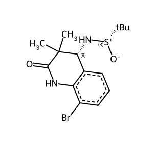 CC1(C)C(=O)Nc2c(Br)cccc2[C@H]1N[S@@+]([O-])C(C)(C)C